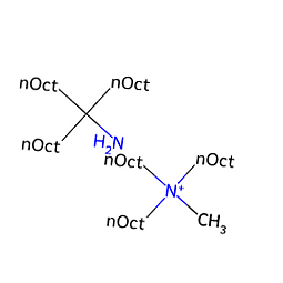 CCCCCCCCC(N)(CCCCCCCC)CCCCCCCC.CCCCCCCC[N+](C)(CCCCCCCC)CCCCCCCC